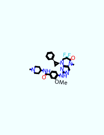 COc1cc(C(=O)NC2CCN(C)CC2)ccc1Nc1ncc2c(n1)N([C@@H]1C[C@H]1c1ccccc1)CC(F)(F)C(=O)N2C